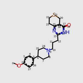 COc1ccc(C2CCN(CCCc3nc4c(c(=O)[nH]3)CSCC4)CC2)cc1